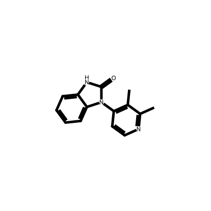 Cc1nccc(-n2c(=O)[nH]c3ccccc32)c1C